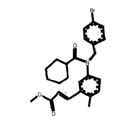 COC(=O)/C=C/c1cc(N(Cc2ccc(Br)cc2)C(=O)C2CCCCC2)ccc1C